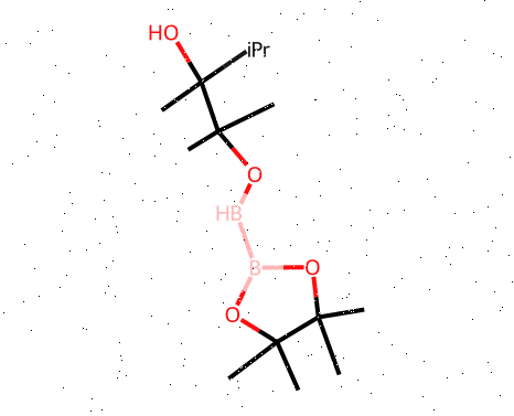 CC(C)C(C)(O)C(C)(C)OBB1OC(C)(C)C(C)(C)O1